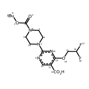 CC(C)(C)OC(=O)N1CCN(c2ncc(C(=O)O)c(OCC(F)F)n2)CC1